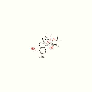 COc1ccc2c(c1CO)C=C[C@]1(C)[C@@H]3CC[C@]21O[C@@]1(OC(C)(C)[C@@H](C)[C@H]1O)[C@H]3C